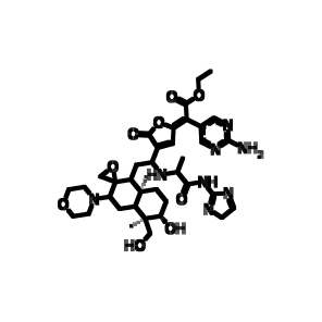 CCOC(=O)/C(=C1/C=C(C(CC2C3(CO3)C(N3CCOCC3)CC3[C@]2(C)CC[C@@H](O)[C@@]3(C)CO)NC(C)C(=O)NC2=NCC=N2)C(=O)O1)c1cnc(N)nc1